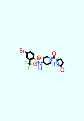 O=C1CC[C@@H](C(=O)N2CCC(NS(=O)(=O)c3ccc(Br)cc3C(F)(F)F)CC2)N1